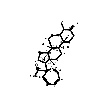 CC1C(=O)CC[C@@]2(C)C1CC[C@@H]1[C@@H]2CC[C@]2(C)C(C3(C(=O)C(C)(C)C)C=CC=CC=N3)CC[C@@H]12